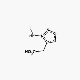 O=C(O)Cc1ccnn1PI